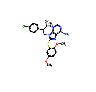 COc1ccc(OC)c(Sc2nc3c(N)ncnc3n2CC(c2ccc(Cl)cc2)C(C)C)c1